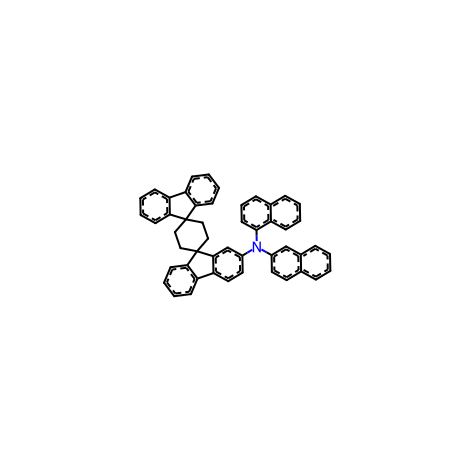 c1ccc2c(c1)-c1ccccc1C21CCC2(CC1)c1ccccc1-c1ccc(N(c3ccc4ccccc4c3)c3cccc4ccccc34)cc12